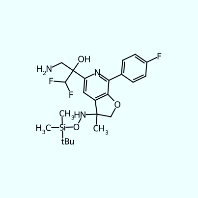 CC1(NO[Si](C)(C)C(C)(C)C)COc2c1cc(C(O)(CN)C(F)F)nc2-c1ccc(F)cc1